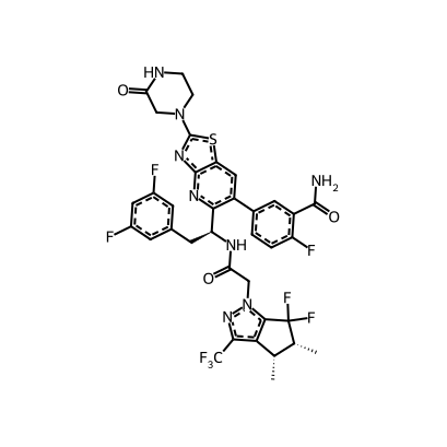 C[C@@H]1c2c(C(F)(F)F)nn(CC(=O)N[C@@H](Cc3cc(F)cc(F)c3)c3nc4nc(N5CCNC(=O)C5)sc4cc3-c3ccc(F)c(C(N)=O)c3)c2C(F)(F)[C@@H]1C